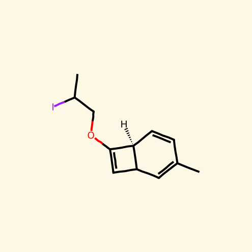 CC1=CC2C=C(OCC(C)I)[C@H]2C=C1